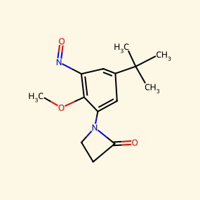 COc1c(N=O)cc(C(C)(C)C)cc1N1CCC1=O